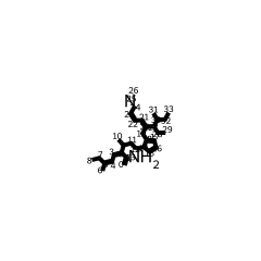 C=C/C(=C\C=C(\C)CC)C(C)CC(N)C1C=CC=C1C\C(=C/C=C\C=N\C)C(CC)C(C)CC